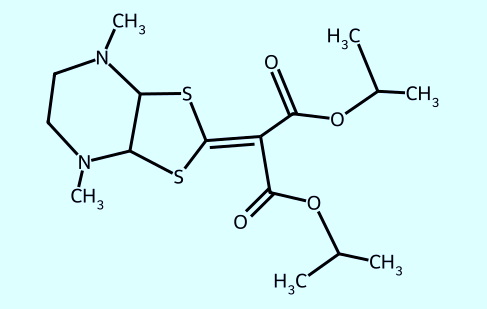 CC(C)OC(=O)C(C(=O)OC(C)C)=C1SC2C(S1)N(C)CCN2C